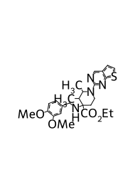 CCOC(=O)C1(NCc2ccc(OC)c(OC)c2)CCN(c2ncc3ccsc3n2)C(C)C1C